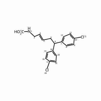 O=C(O)NCC=CCC(c1ccc(Cl)cc1)c1ccc(Cl)cc1